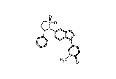 Cn1cc(-n2ncc3cc(N4[C@H](c5ccccc5)CCS4(=O)=O)ccc32)ccc1=O